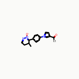 CCC(=O)c1ccn(-c2ccc(C3=[N+]([O-])N=CCC3C)cc2)c1